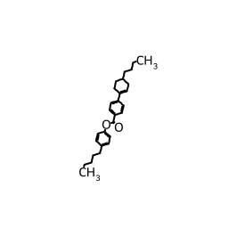 CCCCCc1ccc(OC(=O)c2ccc(C3=CCC(CCCC)CC3)cc2)cc1